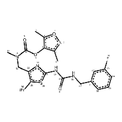 Cc1noc(C)c1OC(=O)N(C)Cc1nc(NC(=O)NCc2cccc(F)c2)sc1C(C)C